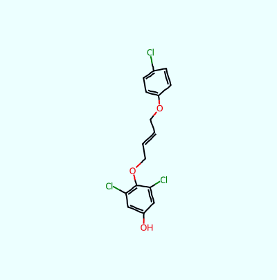 Oc1cc(Cl)c(OCC=CCOc2ccc(Cl)cc2)c(Cl)c1